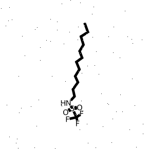 CCCCCCCCCCCCNS(=O)(=O)C(F)(F)F